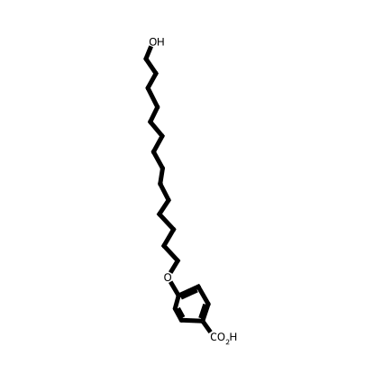 O=C(O)c1ccc(OCCCCCCCCCCCCCCO)cc1